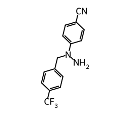 N#Cc1ccc(N(N)Cc2ccc(C(F)(F)F)cc2)cc1